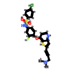 CCN(CC)CC#Cc1cc2nccc(Oc3ccc(NS(=O)(=O)c4ccc(Cl)cc4)cc3F)c2s1